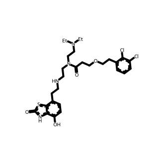 CCN(CC)CCN(CCNCCc1ccc(O)c2[nH]c(=O)sc12)C(=O)CCOCCc1cccc(Cl)c1Cl